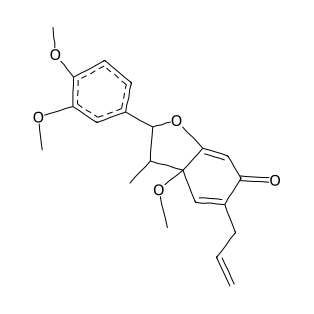 C=CCC1=CC2(OC)C(=CC1=O)OC(c1ccc(OC)c(OC)c1)C2C